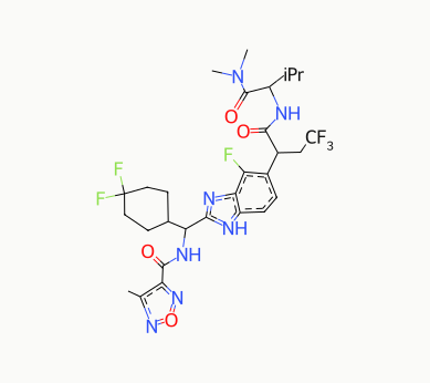 Cc1nonc1C(=O)NC(c1nc2c(F)c(C(CC(F)(F)F)C(=O)NC(C(=O)N(C)C)C(C)C)ccc2[nH]1)C1CCC(F)(F)CC1